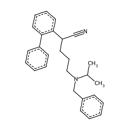 CC(C)N(CCCC(C#N)c1ccccc1-c1ccccc1)Cc1ccccc1